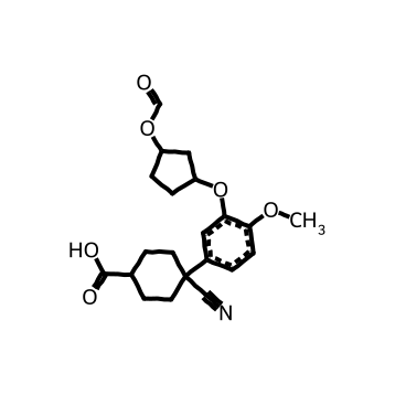 COc1ccc(C2(C#N)CCC(C(=O)O)CC2)cc1OC1CCC(OC=O)C1